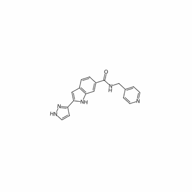 O=C(NCc1ccncc1)c1ccc2cc(-c3cc[nH]n3)[nH]c2c1